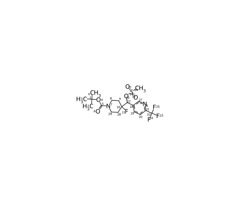 CC(C)(C)OC(=O)N1CCC(F)(C(OS(C)(=O)=O)c2ccc(C(F)(F)F)nc2)CC1